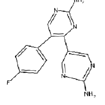 Nc1ncc(-c2nc(N)ncc2-c2ccc(F)cc2)cn1